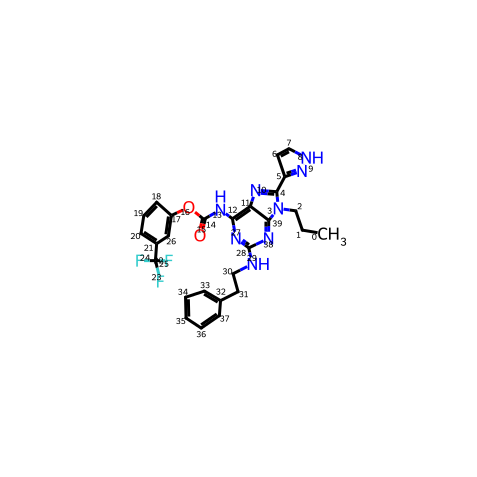 CCCn1c(-c2cc[nH]n2)nc2c(NC(=O)Oc3cccc(C(F)(F)F)c3)nc(NCCc3ccccc3)nc21